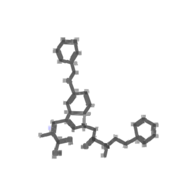 C/C(=C/c1cn(CC(=O)N(C)CCc2ccccc2)c2ccc(OCc3ccccc3)cc12)C(=O)O